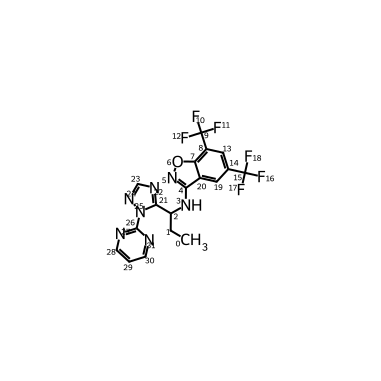 CCC(Nc1noc2c(C(F)(F)F)cc(C(F)(F)F)cc12)c1ncnn1-c1ncccn1